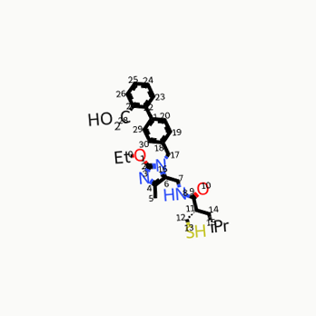 CCOc1nc(C)c(CNC(=O)[C@@H](CS)CC(C)C)n1Cc1ccc(-c2ccccc2C(=O)O)cc1